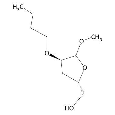 CCCCO[C@@H]1C[C@@H](CO)OC1OC